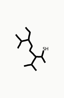 CCC(CCC(C(C)C)C(C)S)C(C)C